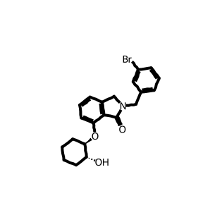 O=C1c2c(cccc2O[C@@H]2CCCC[C@H]2O)CN1Cc1cccc(Br)c1